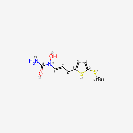 CC(C)(C)Sc1ccc(CC=CN(O)C(N)=O)s1